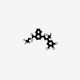 O=C(NCC(F)(F)F)c1ccc(C(F)=CC(c2cc(Cl)c(Cl)c(Cl)c2)C(F)(F)F)c2ccccc12